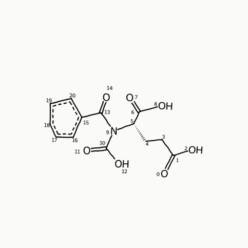 O=C(O)CC[C@@H](C(=O)O)N(C(=O)O)C(=O)c1ccccc1